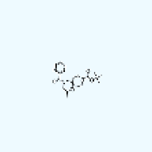 CC1CN(C(=O)c2ccccn2)CC2(CCN(C(=O)OC(C)(C)C)CC2)O1